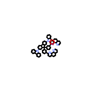 C1=CCC2C(=C1)c1ccccc1N2c1ccc2c(c1)C(c1cccc(-c3ccc4ccc5cccnc5c4n3)c1)(c1cccc(-c3ccc4ccc5cccnc5c4n3)c1)C1C=C(n3c4ccccc4c4ccccc43)C=CC21